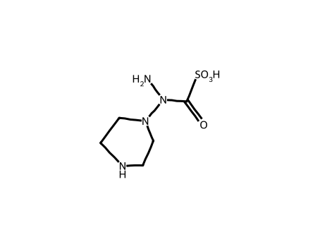 NN(C(=O)S(=O)(=O)O)N1CCNCC1